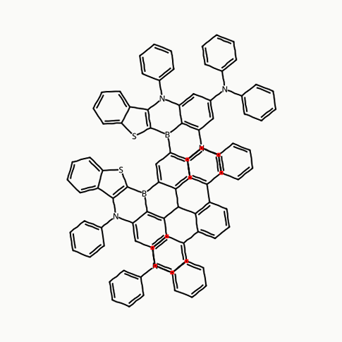 c1ccc(-c2cccc(-c3ccccc3)c2C2c3cc4c(cc3B3c5sc6ccccc6c5N(c5ccccc5)c5cc(N(c6ccccc6)c6ccccc6)cc2c53)B2c3sc5ccccc5c3N(c3ccccc3)c3cc(N(c5ccccc5)c5ccccc5)cc(c32)N4c2ccccc2)cc1